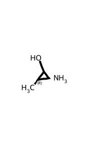 C[C@@H]1CC1O.N